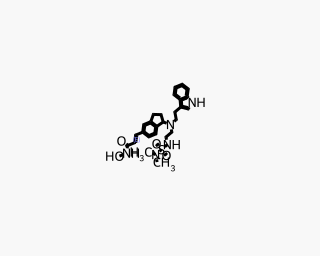 CN(C)S(=O)(=O)NCCN(CCc1c[nH]c2ccccc12)C1CCc2cc(/C=C/C(=O)NO)ccc21